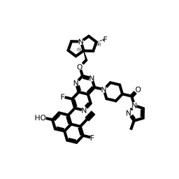 C#Cc1c(F)ccc2cc(O)cc(-c3ncc4c(N5CCC(C(=O)n6ccc(C)n6)CC5)nc(OC[C@@]56CCCN5C[C@H](F)C6)nc4c3F)c12